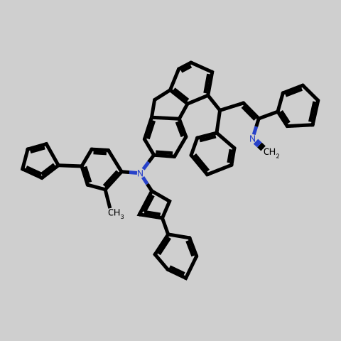 C=N/C(=C\C(c1ccccc1)c1cccc2c1-c1ccc(N(C3=C=C(c4ccccc4)C3)c3ccc(C4=C=CC=C4)cc3C)cc1C2)c1ccccc1